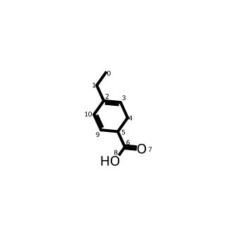 CCC1=CCC(C(=O)O)C=C1